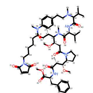 CC[C@H](C)C([C@@H](CC(=O)N1CCC[C@H]1[C@H](OC)[C@@H](C)C(=O)N[C@@H](Cc1ccccc1)C(=O)OC)OC)N(C)C(=O)[C@@H](NC(=O)C(C(C)C)N(C)CCc1ccc(N(C)C(=O)CCCCCN2C(=O)C=CC2=O)cc1)C(C)C